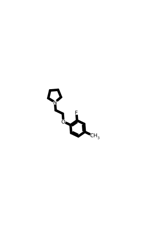 Cc1ccc(OCCN2CCCC2)c(F)c1